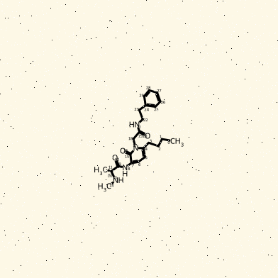 CCCCc1ccc(NC(=O)[C@H](C)NC)c(=O)n1CC(=O)NCCc1ccccc1